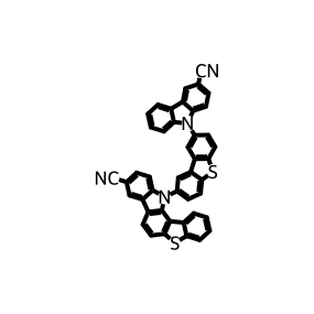 N#Cc1ccc2c(c1)c1ccccc1n2-c1ccc2sc3ccc(-n4c5ccc(C#N)cc5c5ccc6sc7ccccc7c6c54)cc3c2c1